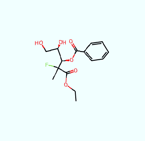 CCOC(=O)C(C)(F)[C@H](OC(=O)c1ccccc1)[C@H](O)CO